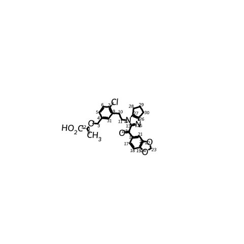 C[C@@H](OCc1ccc(Cl)c(CCn2c(C(=O)c3ccc4c(c3)OCO4)nc3c2CCC3)c1)C(=O)O